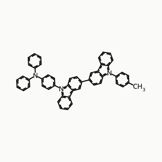 Cc1ccc(-n2c3ccccc3c3cc(-c4ccc5c(c4)c4ccccc4n5-c4ccc(N(c5ccccc5)c5ccccc5)cc4)ccc32)cc1